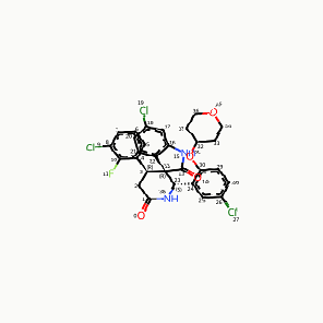 O=C1C[C@@H](c2cccc(Cl)c2F)[C@]2(C(=O)Nc3cc(Cl)ccc32)[C@H](c2cc(Cl)ccc2OC2CCOCC2)N1